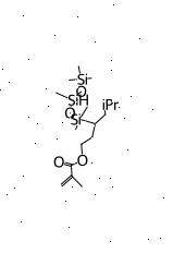 C=C(C)C(=O)OCCC(CC(C)C)[Si](C)(C)O[SiH](C)O[Si](C)(C)C